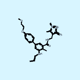 CCCNc1cc(-c2ccc(OCCOC)cc2)cc(C(=O)NCc2c(C)n(C)[nH]c2=O)c1C